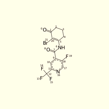 O=C1CCCC(NC(=O)c2cc(C(F)(F)F)ncc2F)=C1Br